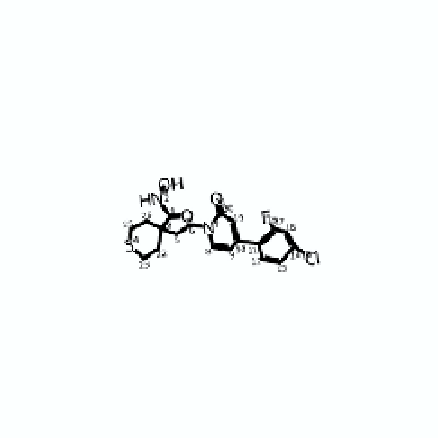 O=C(NO)C1(CCn2ccc(-c3ccc(Cl)cc3F)cc2=O)CCSCC1